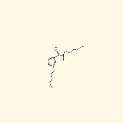 [CH2]CCCCc1cccc(C(=O)NCCCCCC)c1